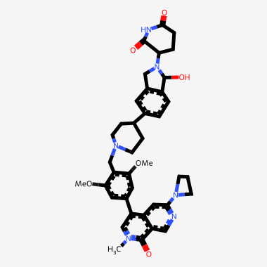 COc1cc(-c2cn(C)c(=O)c3cnc(N4CCC4)cc23)cc(OC)c1CN1CCC(c2ccc3c(c2)CN(C2CCC(=O)NC2=O)C3O)CC1